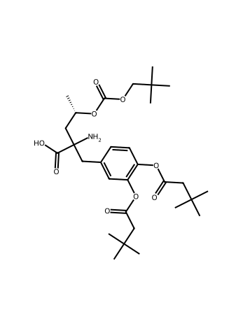 C[C@@H](CC(N)(Cc1ccc(OC(=O)CC(C)(C)C)c(OC(=O)CC(C)(C)C)c1)C(=O)O)OC(=O)OCC(C)(C)C